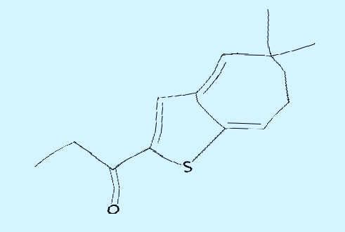 CCC(=O)c1cc2c(s1)=CCC(C)(C)C=2